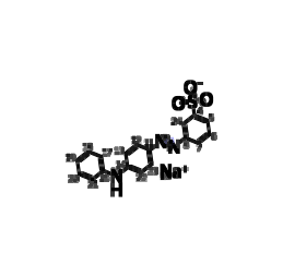 O=S(=O)([O-])c1cccc(/N=N/c2ccc(Nc3ccccc3)cc2)c1.[Na+]